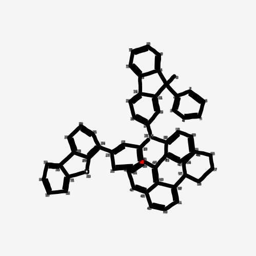 CC1(c2ccccc2)c2ccccc2-c2ccc(N(c3cccc(-c4cccc5c4oc4ccccc45)c3)c3ccccc3-c3cccc4cccc(C5CCCCC5)c34)cc21